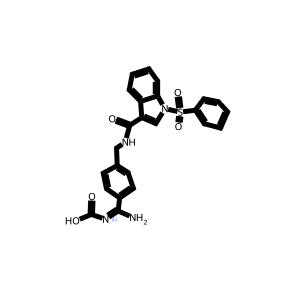 N/C(=N/C(=O)O)c1ccc(CNC(=O)c2cn(S(=O)(=O)c3ccccc3)c3ccccc23)cc1